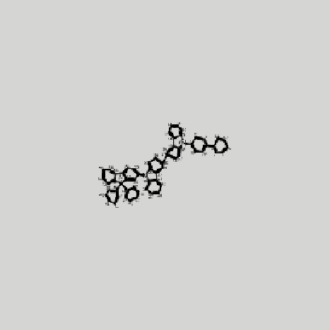 c1ccc(-c2ccc(-n3c4ccccc4c4cc(-c5ccc6c(c5)c5ccccc5n6-c5ccc6c(c5)C(c5ccccc5)(c5ccccc5)c5ccccc5-6)ccc43)cc2)cc1